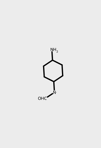 NC1CCC([N]C=O)CC1